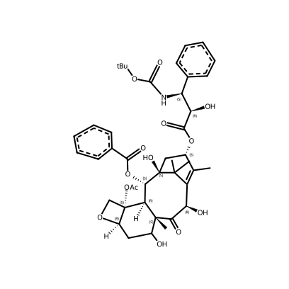 CC(=O)O[C@@]12CO[C@@H]1CC(O)[C@@]1(C)C(=O)[C@H](O)C3=C(C)[C@@H](OC(=O)[C@H](O)[C@@H](NC(=O)OC(C)(C)C)c4ccccc4)C[C@@](O)([C@@H](OC(=O)c4ccccc4)[C@H]21)C3(C)C